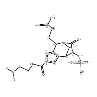 CN(C)CCNC(=O)n1cc2c(n1)C(CNC(=O)O)N1CC2N(OS(=O)(=O)O)C1=O